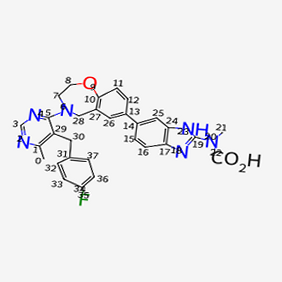 Cc1ncnc(N2CCOc3ccc(-c4ccc5nc(N(C)C(=O)O)[nH]c5c4)cc3C2)c1Cc1ccc(F)cc1